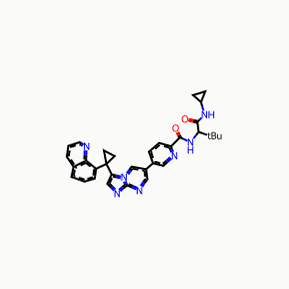 CC(C)(C)C(NC(=O)c1ccc(-c2cnc3ncc(C4(c5cccc6cccnc56)CC4)n3c2)cn1)C(=O)NC1CC1